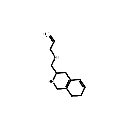 C=CCNCC1CC2=C(CCC=C2)CN1